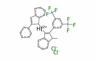 CC1C(c2cc(C(F)(F)F)cc(C(F)(F)F)c2)=[C]([Hf+2][CH]2C(c3ccccc3)=Cc3ccccc32)c2ccccc21.[Cl-].[Cl-]